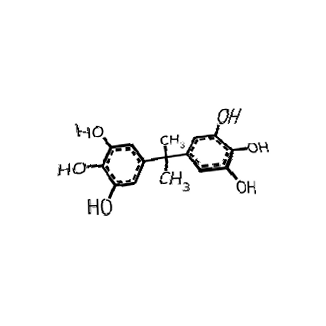 CC(C)(c1cc(O)c(O)c(O)c1)c1cc(O)c(O)c(O)c1